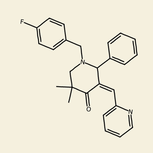 CC1(C)CN(Cc2ccc(F)cc2)C(c2ccccc2)C(=Cc2ccccn2)C1=O